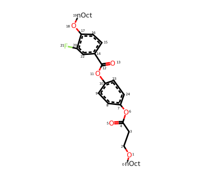 CCCCCCCCOCCC(=O)Oc1ccc(OC(=O)c2ccc(OCCCCCCCC)c(F)c2)cc1